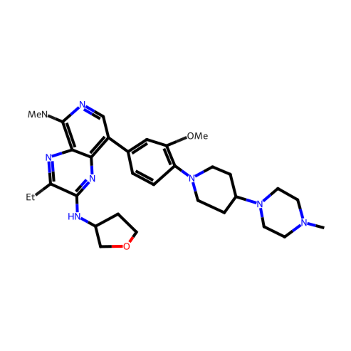 CCc1nc2c(NC)ncc(-c3ccc(N4CCC(N5CCN(C)CC5)CC4)c(OC)c3)c2nc1NC1CCOC1